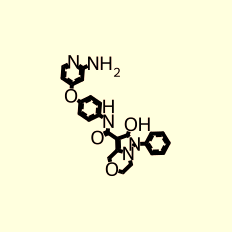 Nc1cc(Oc2ccc(NC(=O)C3=C4COCCN4N(c4ccccc4)C3O)cc2)ccn1